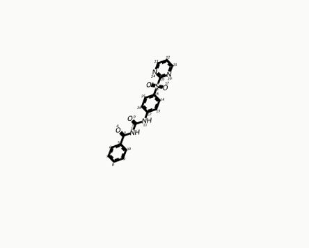 O=C(NC(=O)c1ccccc1)Nc1ccc(S(=O)(=O)c2ncccn2)cc1